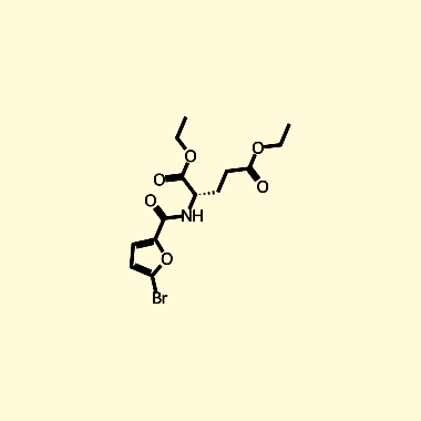 CCOC(=O)CC[C@H](NC(=O)c1ccc(Br)o1)C(=O)OCC